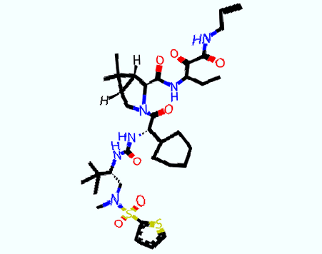 C=CCNC(=O)C(=O)C(CC)NC(=O)[C@@H]1[C@@H]2[C@H](CN1C(=O)[C@@H](NC(=O)N[C@H](CN(C)S(=O)(=O)c1cccs1)C(C)(C)C)C1CCCCC1)C2(C)C